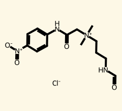 C[N+](C)(CCCNC=O)CC(=O)Nc1ccc([N+](=O)[O-])cc1.[Cl-]